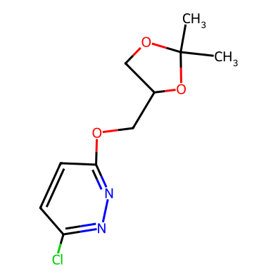 CC1(C)OCC(COc2ccc(Cl)nn2)O1